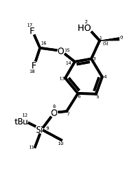 C[C@H](O)c1ccc(CO[Si](C)(C)C(C)(C)C)cc1OC(F)F